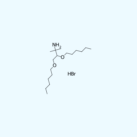 Br.CCCCCCOCC(OCCCCCC)C(C)(C)N